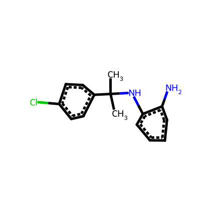 CC(C)(Nc1ccccc1N)c1ccc(Cl)cc1